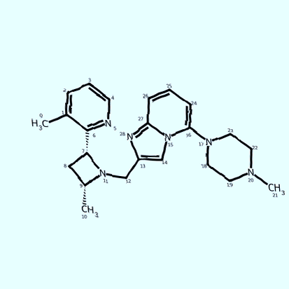 Cc1cccnc1[C@H]1C[C@@H](C)N1Cc1cn2c(N3CCN(C)CC3)cccc2n1